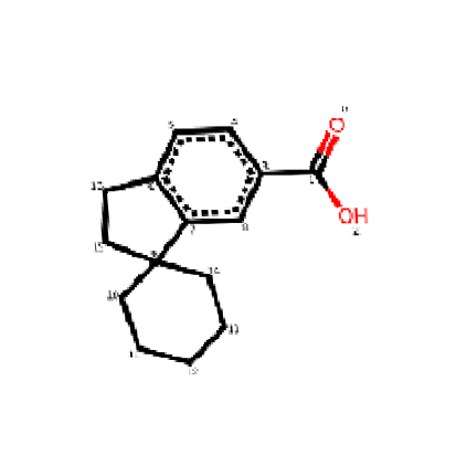 O=C(O)c1ccc2c(c1)C1(CCCCC1)CC2